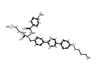 CC(C)CCCCOc1ccc(-c2cnc(-c3ccc(C[C@H](NC(=O)c4ccc(C(C)(C)C)cc4)C(=O)NCCC(=O)O)cc3)nc2)cc1